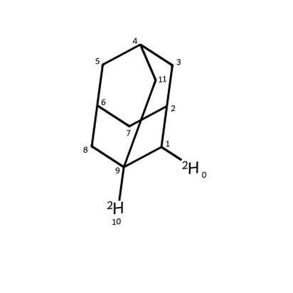 [2H]C1C2CC3CC(C2)CC1([2H])C3